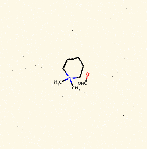 C[N+]1(C)CCCCC1.O=C[O-]